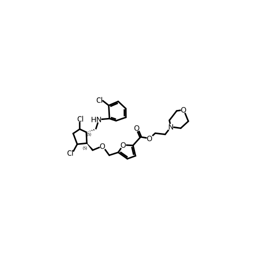 O=C(OCCN1CCOCC1)c1ccc(COC[C@H]2C(Cl)CC(Cl)[C@@H]2CNc2ccccc2Cl)o1